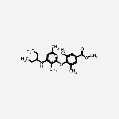 CCC(CC)Nc1cc(C)nc(Oc2c(C)cc(C(=O)OC)cc2C)c1C